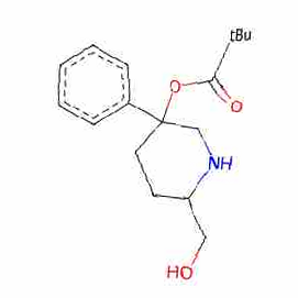 CC(C)(C)C(=O)OC1(c2ccccc2)CCC(CO)NC1